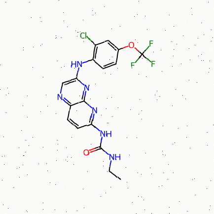 CCNC(=O)Nc1ccc2ncc(Nc3ccc(OC(F)(F)F)cc3Cl)nc2n1